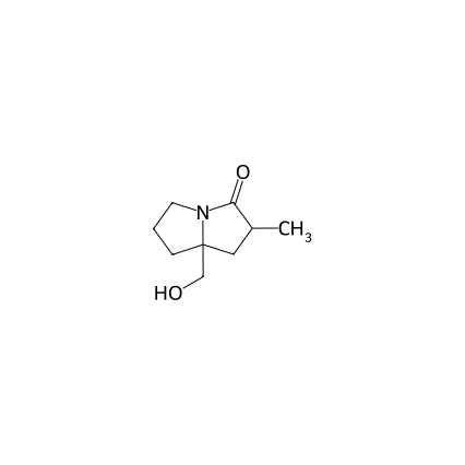 CC1CC2(CO)CCCN2C1=O